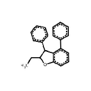 CCC1Oc2cc[c]c(-c3ccccc3)c2C1c1ccccc1